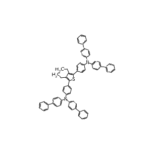 CCc1c(-c2ccc(N(c3ccc(-c4ccccc4)cc3)c3ccc(-c4ccccc4)cc3)cc2)sc(-c2ccc(N(c3ccc(-c4ccccc4)cc3)c3ccc(-c4ccccc4)cc3)cc2)c1CC